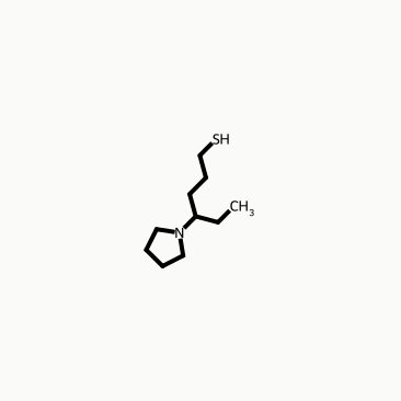 CCC(CCCS)N1CCCC1